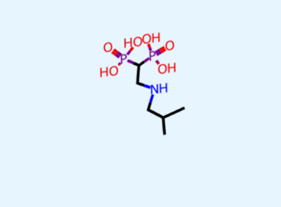 CC(C)CNCC(P(=O)(O)O)P(=O)(O)O